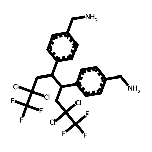 NCc1ccc(C(CC(Cl)(Cl)C(F)(F)F)C(CC(Cl)(Cl)C(F)(F)F)c2ccc(CN)cc2)cc1